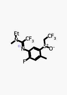 CCN(C)/C(=N/c1cc([S+]([O-])CC(F)(F)F)c(C)cc1F)C(F)(F)F